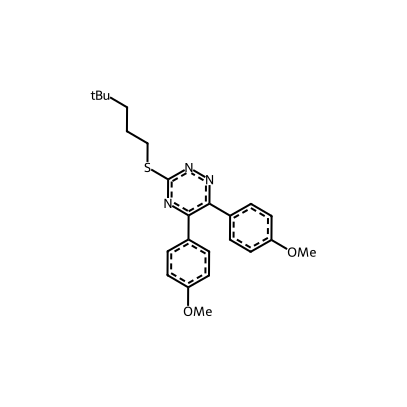 COc1ccc(-c2nnc(SCCCC(C)(C)C)nc2-c2ccc(OC)cc2)cc1